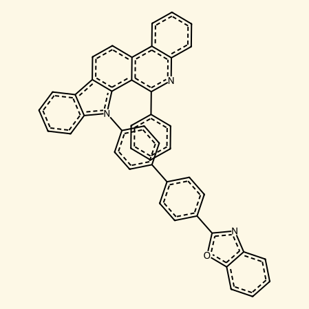 c1ccc(-c2nc3ccccc3c3ccc4c5ccccc5n(-c5ccc(-c6ccc(-c7nc8ccccc8o7)cc6)cc5)c4c23)cc1